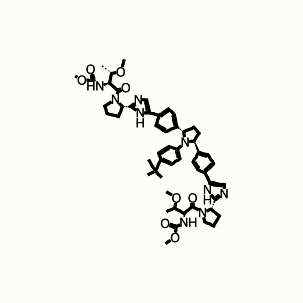 COC(=O)N[C@H](C(=O)N1CCC[C@H]1c1ncc(-c2ccc([C@@H]3CC[C@@H](c4ccc(-c5cnc([C@@H]6CCCN6C(=O)[C@H](NC(=O)OC)C(C)OC)[nH]5)cc4)N3c3ccc(C(C)(C)C)cc3)cc2)[nH]1)[C@H](C)OC